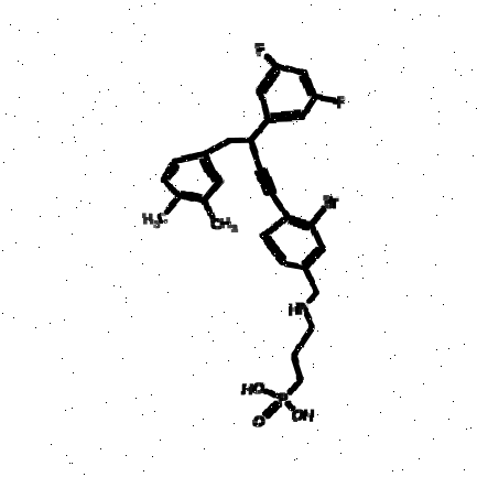 Cc1ccc(CC(C#Cc2ccc(CNCCCP(=O)(O)O)cc2Br)c2cc(F)cc(F)c2)cc1C